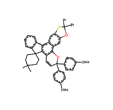 COc1ccc(C2(c3ccc(OC)cc3)C=Cc3c4c(c5cc6c(cc5c3O2)OC(C(C)C)(C(C)C)S6)-c2ccccc2C42CCC(C)(C)CC2)cc1